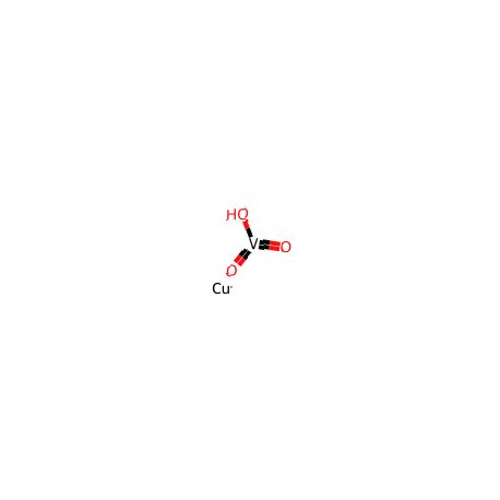 [Cu].[O]=[V](=[O])[OH]